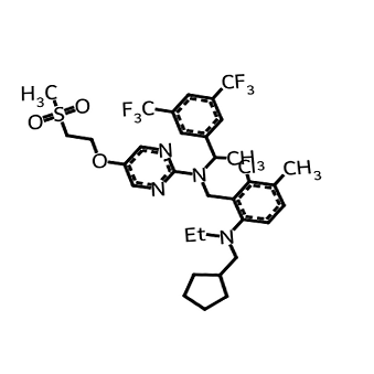 CCN(CC1CCCC1)c1ccc(C)c(Cl)c1CN(c1ncc(OCCS(C)(=O)=O)cn1)C(C)c1cc(C(F)(F)F)cc(C(F)(F)F)c1